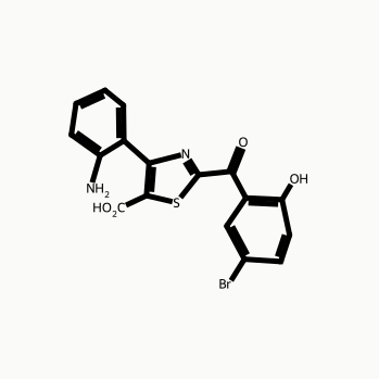 Nc1ccccc1-c1nc(C(=O)c2cc(Br)ccc2O)sc1C(=O)O